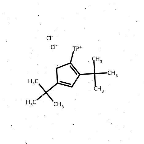 CC(C)(C)C1=CC(C(C)(C)C)=[C]([Ti+2])C1.[Cl-].[Cl-]